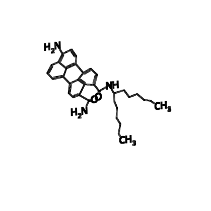 CCCCCCC(CCCCCC)NC(=O)c1ccc2c3ccc(N)c4cccc(c5ccc(C(N)=O)c1c52)c43